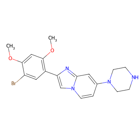 COc1cc(OC)c(-c2cn3ccc(N4CCNCC4)cc3n2)cc1Br